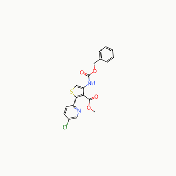 COC(=O)c1c(NC(=O)OCc2ccccc2)csc1-c1ccc(Cl)cn1